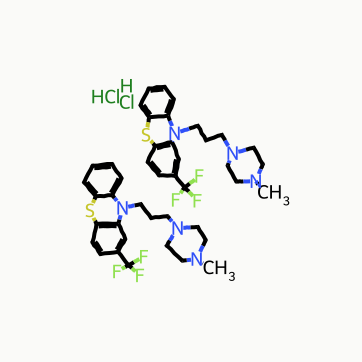 CN1CCN(CCCN2c3ccccc3Sc3ccc(C(F)(F)F)cc32)CC1.CN1CCN(CCCN2c3ccccc3Sc3ccc(C(F)(F)F)cc32)CC1.Cl.Cl